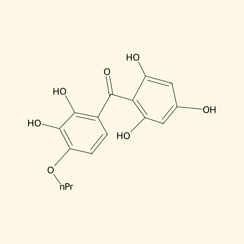 CCCOc1ccc(C(=O)c2c(O)cc(O)cc2O)c(O)c1O